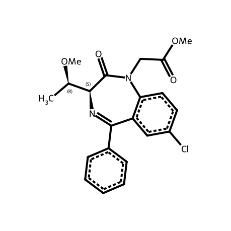 COC(=O)CN1C(=O)[C@H]([C@@H](C)OC)N=C(c2ccccc2)c2cc(Cl)ccc21